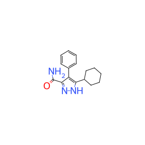 NC(=O)c1n[nH]c(C2CCCCC2)c1-c1ccccc1